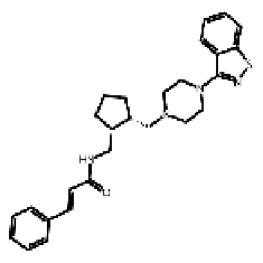 O=C(/C=C/c1ccccc1)NC[C@H]1CCC[C@@H]1CN1CCN(c2nsc3ccccc23)CC1